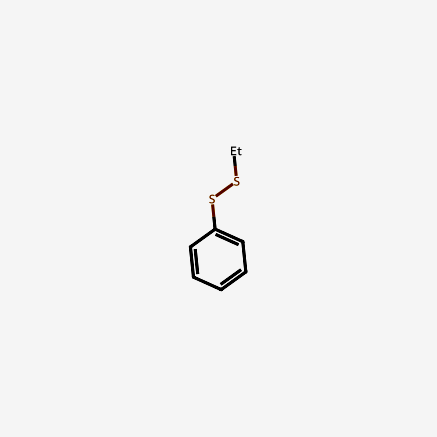 CCSSc1ccccc1